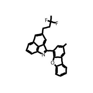 Cc1cc(C2=Nc3cccc4cc(CCC(C)(F)F)cc2c34)c2oc3ccccc3c2c1